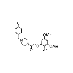 COc1cc(OC)c(C(C)=O)c(OCC(=O)N2CCN(Cc3ccc(Cl)cc3)CC2)c1